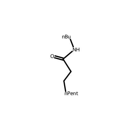 [CH2]CCCCCCC(=O)NCCCC